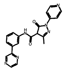 CC1=NN(c2ccncc2)C(=O)C1C(=O)Nc1cccc(-c2cnccn2)c1